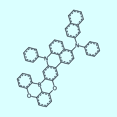 c1ccc(N(c2ccc3ccccc3c2)c2ccc3c4c(cccc24)N(c2ccccc2)c2cc4c(cc2-3)Oc2cccc3c2B4c2ccccc2O3)cc1